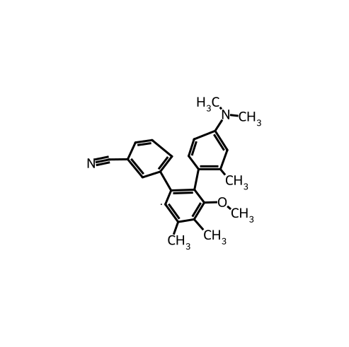 COc1c(C)c(C)[c]c(-c2cccc(C#N)c2)c1-c1ccc(N(C)C)cc1C